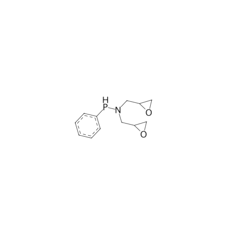 c1ccc(PN(CC2CO2)CC2CO2)cc1